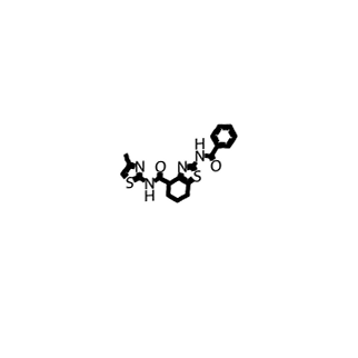 Cc1csc(NC(=O)C2CCCc3sc(NC(=O)c4ccccc4)nc32)n1